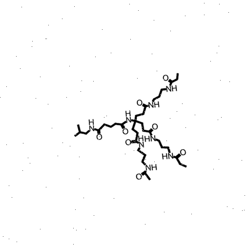 CCC(=O)NCCCNC(=O)CCC(CCC(=O)NCCCNC(C)=O)(CCC(=O)NCCCNC(=O)CC)NC(=O)CCCC(=O)NCC(C)C